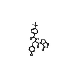 CC(C)(C)c1ccc(C(=O)NC(Cc2ccc(Cl)cc2)C(=O)N2CCC3OCC(=O)C32)cc1